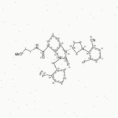 COCCNC(=O)c1cccc2c1n(Cc1ccccc1C(F)(F)F)c(=O)n2[C@@H]1CCN(c2c(F)cccc2C#N)C1